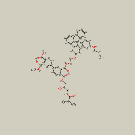 C=C(C)C(=O)OCC(O)COC(=O)c1ccc(-c2ccc(C(=O)O)c(C(=O)OC)c2)cc1C(=O)OCCOC1C=CC(C2(C3=CCC(OCCC)C=C3)c3ccccc3C3C=CC=CC32)=CC1